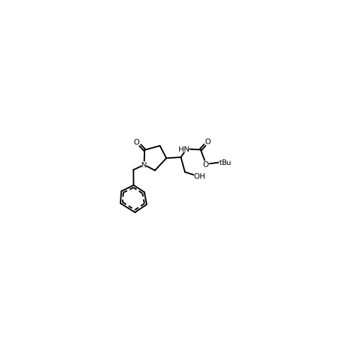 CC(C)(C)OC(=O)NC(CO)C1CC(=O)N(Cc2ccccc2)C1